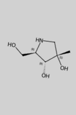 C[C@]1(O)CN[C@H](CO)[C@H]1O